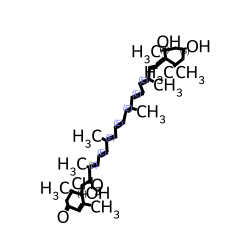 CC1=CC(=O)CC(C)(C)[C@@]1(O)CC(=O)/C(C)=C/C=C/C(C)=C/C=C/C=C(C)/C=C/C=C(\C)C=C=C1C(C)(C)C[C@H](O)C[C@@]1(C)O